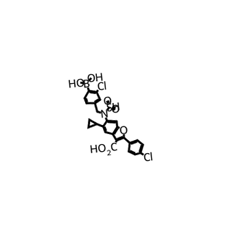 O=C(O)c1c(-c2ccc(Cl)cc2)oc2cc(N(Cc3ccc(B(O)O)c(Cl)c3)[SH](=O)=O)c(C3CC3)cc12